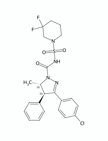 C[C@H]1[C@H](c2ccccc2)C(c2ccc(Cl)cc2)=NN1C(=O)NS(=O)(=O)N1CCCC(F)(F)C1